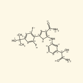 CC(C)(O)c1cc(F)c(-c2cc(C(N)=O)c(Nc3cccc(C(O)C(N)=O)n3)s2)c(F)c1